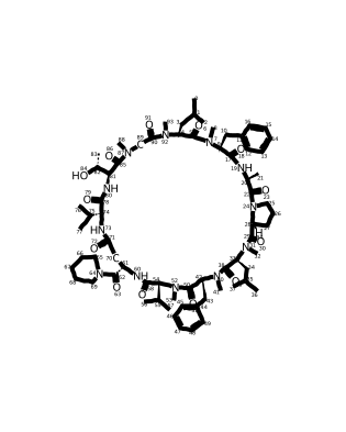 CC(C)C[C@H]1C(=O)N(C)[C@@H](Cc2ccccc2)C(=O)N[C@@H](C)C(=O)N2CCC[C@H]2C(=O)N(C)[C@@H](CC(C)C)C(=O)N(C)[C@@H](Cc2ccccc2)C(=O)N(C)[C@@H](C(C)C)C(=O)N[C@H](C(=O)N2CCCCC2)CC(=O)N[C@H](C(C)C)C(=O)N[C@@H]([C@@H](C)O)C(=O)N(C)CC(=O)N1C